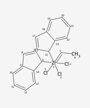 C[CH]=[Zr]([Cl])([Cl])([Cl])([CH]1C=Cc2ccccc21)[CH]1C=Cc2ccccc21